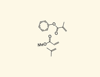 C=C(C)C.C=C(C)C(=O)Oc1ccccc1.C=CC(=O)OC